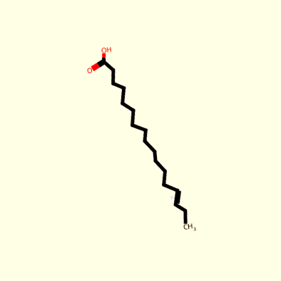 CC/C=C/CCCCCCCCCCCCC(=O)O